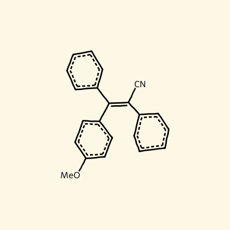 COc1ccc(/C(=C(/C#N)c2ccccc2)c2ccccc2)cc1